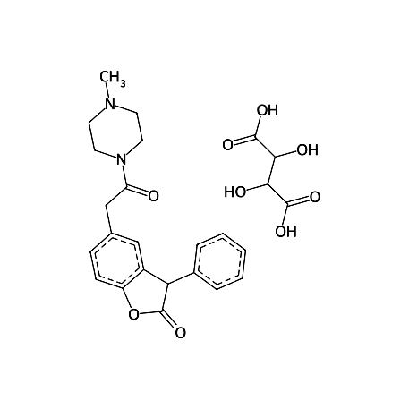 CN1CCN(C(=O)Cc2ccc3c(c2)C(c2ccccc2)C(=O)O3)CC1.O=C(O)C(O)C(O)C(=O)O